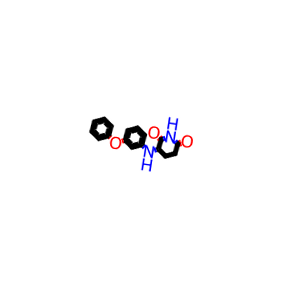 O=C1CCC(Nc2cccc(Oc3ccccc3)c2)C(=O)N1